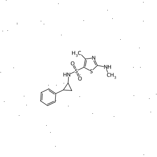 CNc1nc(C)c(S(=O)(=O)NC2CC2c2ccccc2)s1